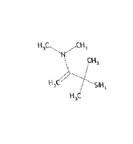 C=C(N(C)C)C(C)(C)[SiH3]